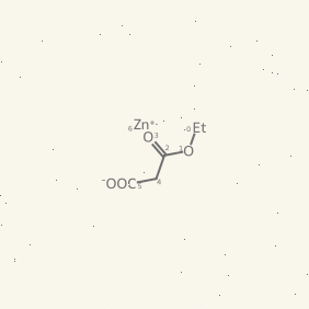 CCOC(=O)CC(=O)[O-].[Zn+]